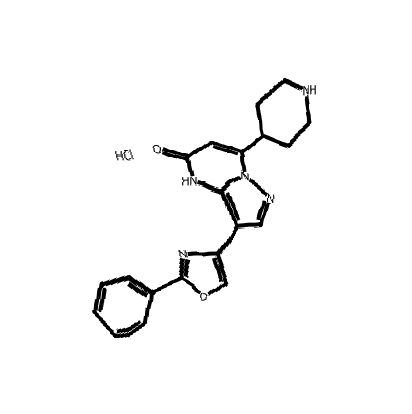 Cl.O=c1cc(C2CCNCC2)n2ncc(-c3coc(-c4ccccc4)n3)c2[nH]1